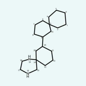 C1CCC2(CC1)CCCC(C1CCCC3(CNCCN3)C1)C2